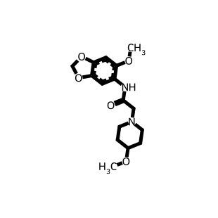 COc1cc2c(cc1NC(=O)CN1CCC(OC)CC1)OCO2